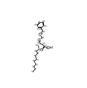 CCCCCCCCCCC[C@@H](CC(=O)O)OCOCc1ccccc1